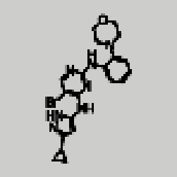 Brc1cnc(Nc2ccccc2N2CCOCC2)nc1Nc1cc(C2CC2)n[nH]1